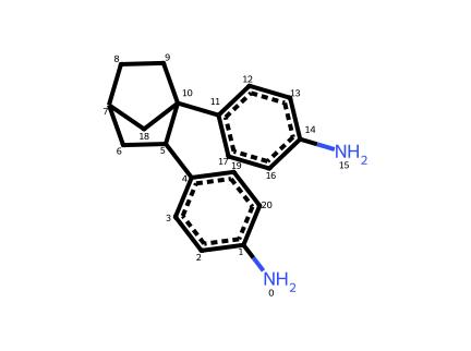 Nc1ccc(C2CC3CCC2(c2ccc(N)cc2)C3)cc1